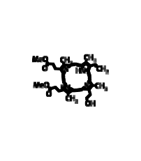 C=Cc1c(C)c2cc3nc(cc4[nH]c(cc5nc(cc1[nH]2)C(C)=C5CCO)c(C)c4CCC(=O)OC)C(CCC(=O)OC)=C3C